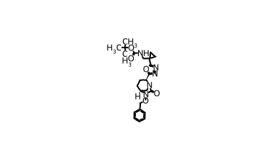 CC(C)(C)OC(=O)NCC1(c2nnc([C@@H]3CC[C@H]4CN3C(=O)N4OCc3ccccc3)o2)CC1